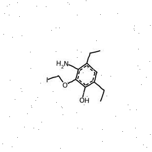 CCc1cc(CC)c(O)c(OCI)c1N